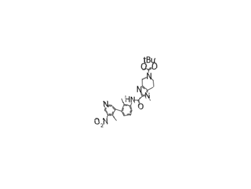 Cc1c(NC(=O)c2nc3c(n2C)CCN(C(=O)OC(C)(C)C)C3)cccc1-c1cncc([N+](=O)[O-])c1C